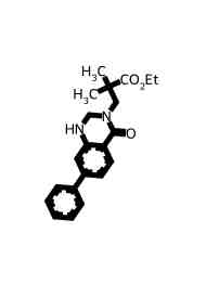 CCOC(=O)C(C)(C)CN1CNc2cc(-c3ccccc3)ccc2C1=O